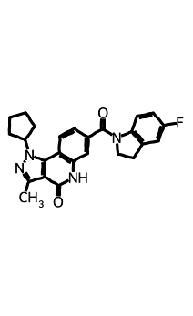 Cc1nn(C2CCCC2)c2c1c(=O)[nH]c1cc(C(=O)N3CCc4cc(F)ccc43)ccc12